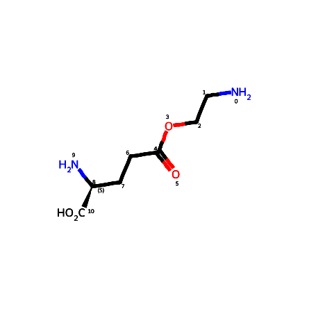 NCCOC(=O)CC[C@H](N)C(=O)O